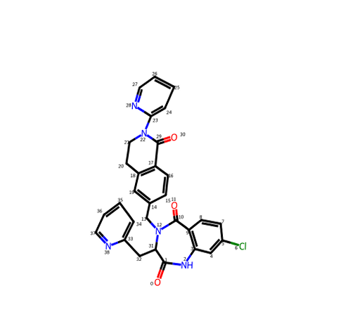 O=C1Nc2cc(Cl)ccc2C(=O)N(Cc2ccc3c(c2)CCN(c2ccccn2)C3=O)C1Cc1ccccn1